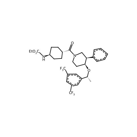 CCOC(=O)N[C@H]1CC[C@H](C(=O)N2CC[C@H](O[C@H](C)c3cc(C(F)(F)F)cc(C(F)(F)F)c3)[C@H](c3ccccc3)C2)CC1